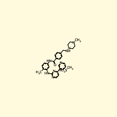 CS(=O)(=O)O.Cc1ccc(NC(=O)c2ccc(CNN3CCN(C)CC3)cc2)cc1Nc1nccc(-c2cccnc2)n1